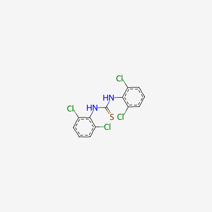 S=C(Nc1c(Cl)cccc1Cl)Nc1c(Cl)cccc1Cl